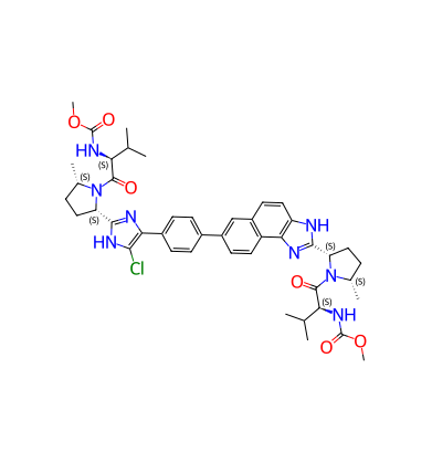 COC(=O)N[C@H](C(=O)N1[C@@H](C)CC[C@H]1c1nc(-c2ccc(-c3ccc4c(ccc5[nH]c([C@@H]6CC[C@H](C)N6C(=O)[C@@H](NC(=O)OC)C(C)C)nc54)c3)cc2)c(Cl)[nH]1)C(C)C